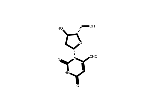 O=Cc1cc(=O)[nH]c(=O)n1[C@@H]1CC(O)[C@H](CO)O1